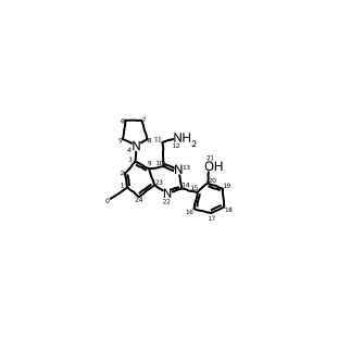 Cc1cc(N2CCCC2)c2c(CN)nc(-c3ccccc3O)nc2c1